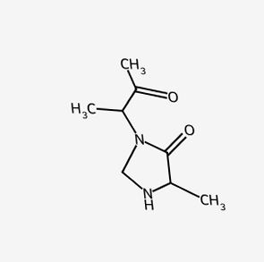 CC(=O)C(C)N1CNC(C)C1=O